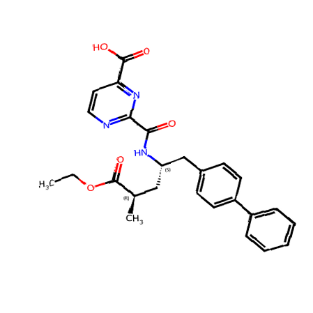 CCOC(=O)[C@H](C)C[C@@H](Cc1ccc(-c2ccccc2)cc1)NC(=O)c1nccc(C(=O)O)n1